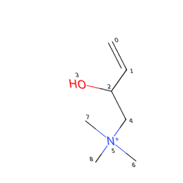 C=CC(O)C[N+](C)(C)C